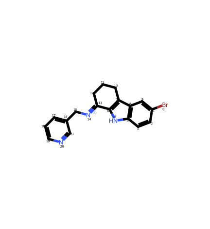 Brc1ccc2[nH]c3c(c2c1)CCC/C3=N\Cc1cccnc1